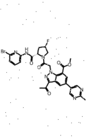 COC(=O)c1cc(-c2cnc(C)nc2)cc2c(C(C)=O)nn(CC(=O)N3C[C@H](F)C[C@H]3C(=O)Nc3cccc(Br)n3)c12